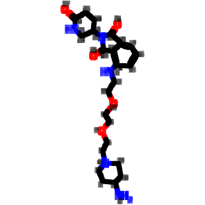 NC1CCN(CCOCCOCCNc2cccc3c2C(=O)N(C2CCC(=O)NC2)C3=O)CC1